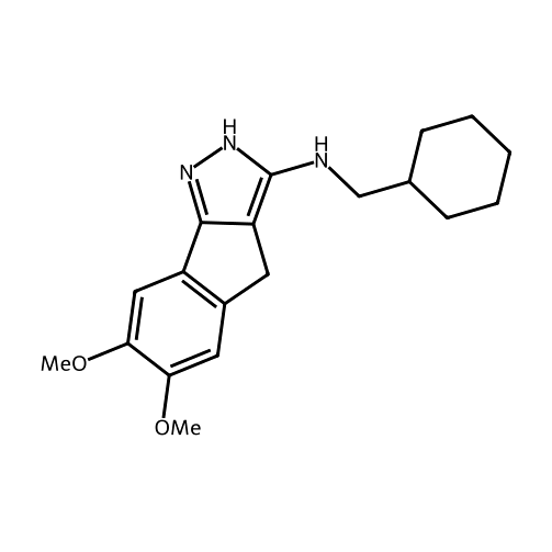 COc1cc2c(cc1OC)-c1n[nH]c(NCC3CCCCC3)c1C2